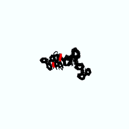 c1cnc2c(c1)C1(c3cc(-c4ccc5c(c4)c4ccccc4n5-c4ccc(-n5c6ccccc6c6ccccc65)cc4)ccc3Oc3ccc(-n4c5ccccc5c5ccccc54)cc31)c1cccnc1-2